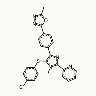 Cc1nnc(-c2ccc(-c3nc(-c4ccccn4)n(C)c3Sc3ccc(Cl)cc3)cc2)o1